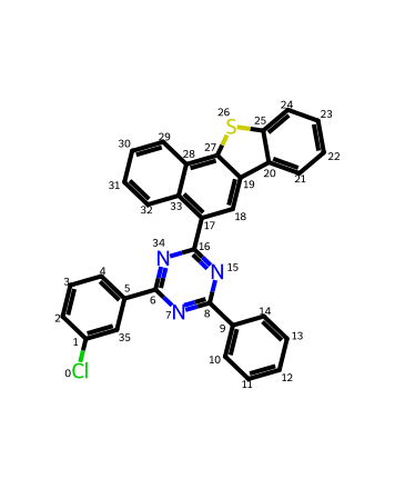 Clc1cccc(-c2nc(-c3ccccc3)nc(-c3cc4c5ccccc5sc4c4ccccc34)n2)c1